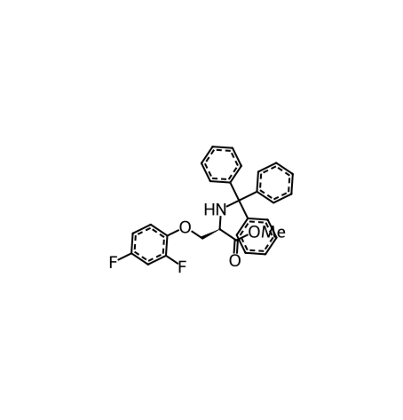 COC(=O)[C@@H](COc1ccc(F)cc1F)NC(c1ccccc1)(c1ccccc1)c1ccccc1